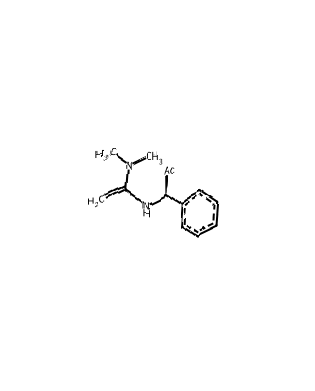 C=C(N[C@@H](C(C)=O)c1ccccc1)N(C)C